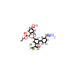 CCOC(=O)Cc1ccc(OC)cc1OCc1cc(-c2cccc(CN)c2)c2occ(C(F)(F)F)c2c1